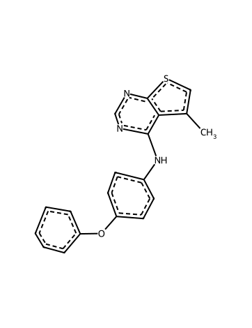 Cc1csc2ncnc(Nc3ccc(Oc4ccccc4)cc3)c12